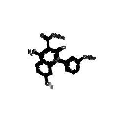 COC(=O)c1c(N)c2ccc(C(F)(F)F)cc2n(-c2cccc(OC)c2)c1=O